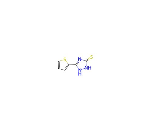 S=c1nc(-c2cccs2)[nH][nH]1